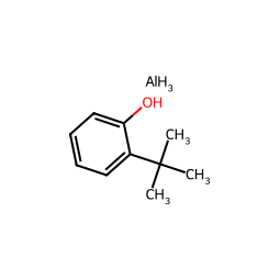 CC(C)(C)c1ccccc1O.[AlH3]